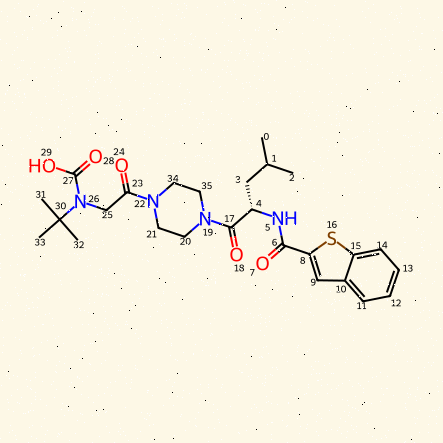 CC(C)C[C@H](NC(=O)c1cc2ccccc2s1)C(=O)N1CCN(C(=O)CN(C(=O)O)C(C)(C)C)CC1